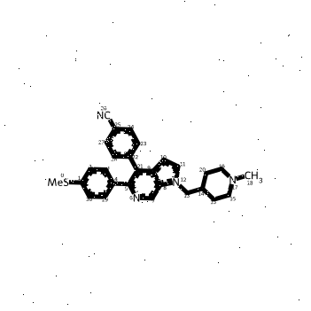 CSc1ccc(-c2ncc3c(ccn3CC3CCN(C)CC3)c2-c2ccc(C#N)cc2)cc1